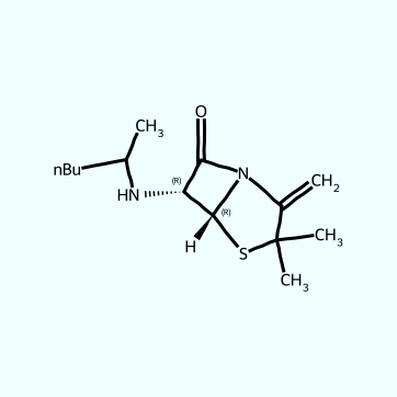 C=C1N2C(=O)[C@@H](NC(C)CCCC)[C@H]2SC1(C)C